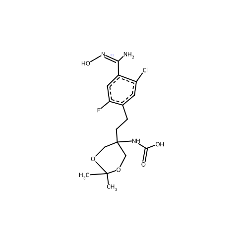 CC1(C)OCC(CCc2cc(Cl)c(/C(N)=N\O)cc2F)(NC(=O)O)CO1